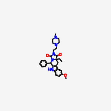 CCC12Cc3c([nH]c4ccc(OC)cc34)C(c3ccccc3)N1C(=O)N(CCN1CCN(C)CC1)C2=O